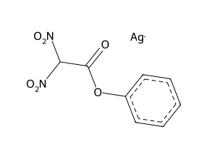 O=C(Oc1ccccc1)C([N+](=O)[O-])[N+](=O)[O-].[Ag]